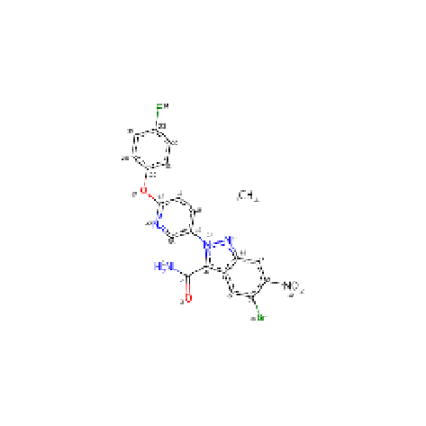 C.NC(=O)c1c2cc(Br)c([N+](=O)[O-])cc2nn1-c1ccc(Oc2ccc(F)cc2)nc1